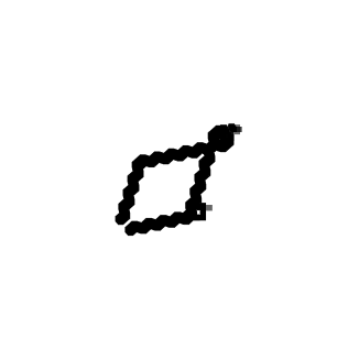 CCCCCCCC/C=C\CCCCCCCCC(CCCCCCCC/C=C\CCCCCCCC)c1cc[n+](C)cc1.[Cl-]